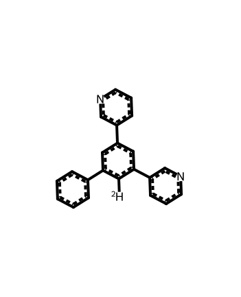 [2H]c1c(-c2ccccc2)cc(-c2cccnc2)cc1-c1cccnc1